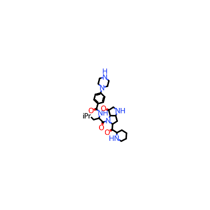 CC(C)CC(NC(=O)c1ccc(N2CCNCC2)cc1)C(=O)N1C(C(=O)C2CCCCN2)CC2NCC(=O)C21